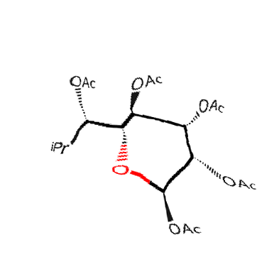 CC(=O)O[C@H]1O[C@H]([C@@H](OC(C)=O)C(C)C)[C@@H](OC(C)=O)[C@H](OC(C)=O)[C@@H]1OC(C)=O